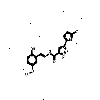 COc1ccc(O)c(C=NNC(=O)c2cc(-c3ccc(Cl)s3)n[nH]2)c1